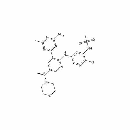 Cc1nc(N)nc(-c2cc([C@H](C)N3CCOCC3)cnc2Nc2cnc(Cl)c(NS(C)(=O)=O)c2)n1